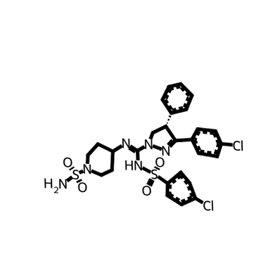 NS(=O)(=O)N1CCC(/N=C(\NS(=O)(=O)c2ccc(Cl)cc2)N2C[C@H](c3ccccc3)C(c3ccc(Cl)cc3)=N2)CC1